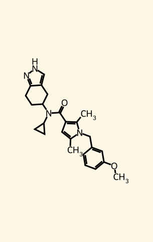 COc1cccc(Cn2c(C)cc(C(=O)N(C3CC3)C3CCc4n[nH]cc4C3)c2C)c1